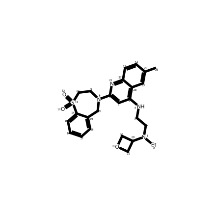 CCN(CCNc1cc(N2CCS(=O)(=O)c3ccccc3C2)nc2ccc(C)cc12)C1COC1